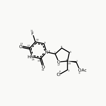 CC(=O)OC[C@]1(CCl)CCC(n2cc(F)c(=O)[nH]c2=O)O1